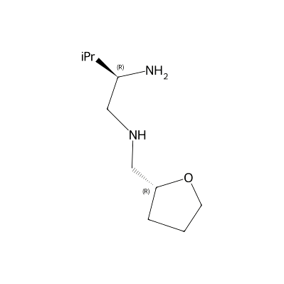 CC(C)[C@@H](N)CNC[C@H]1CCCO1